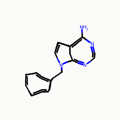 Nc1ncnc2c1ccn2Cc1ccccc1